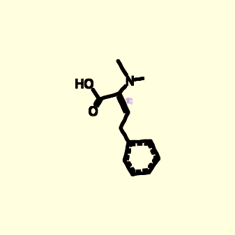 CN(C)/C(=C/Cc1ccccc1)C(=O)O